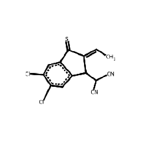 C/C=C1/C(=S)c2cc(Cl)c(Cl)cc2C1C(C#N)C#N